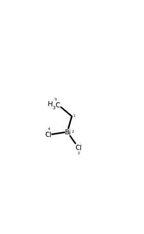 C[CH2][Bi]([Cl])[Cl]